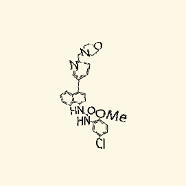 COc1ccc(Cl)cc1NC(=O)Nc1ccc(-c2ccc(CN3CCOCC3)nc2)c2ccccc12